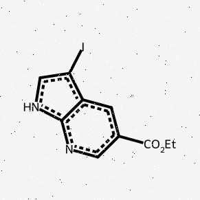 CCOC(=O)c1cnc2[nH]cc(I)c2c1